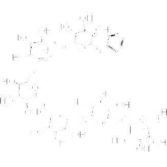 OC[C@H]1O[C@@H](OCC2OC(OC[C@H]3O[C@@H](OCC4OC(OC[C@H]5O[C@@H](OCC6OC(Sc7ccccc7)[C@H](O)C(O)[C@@H]6O)C(O)[C@@H](O)C5O)[C@H](O)C(O)[C@@H]4O)C(O)[C@@H](O)C3O)[C@H](O)C(O)[C@@H]2O)C(O)[C@@H](O)C1O